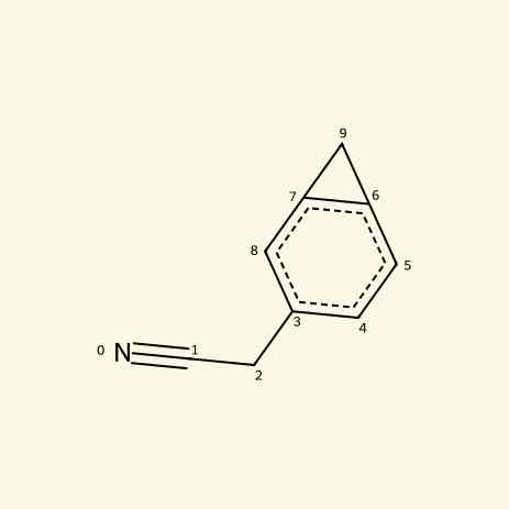 N#CCc1ccc2c(c1)C2